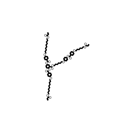 C=CC(=O)OCCCCCCCCCCOc1ccc(C(=O)Oc2ccc(OC(=O)c3ccc(OCCCCCCCCCCOC(=O)C=C)cc3)c(C(=O)OCCCCCCOc3ccc(OC(=O)c4ccc(OCCCCCCOC(=O)C=C)cc4)cc3)c2)cc1